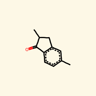 Cc1ccc2c(c1)CC(C)C2=O